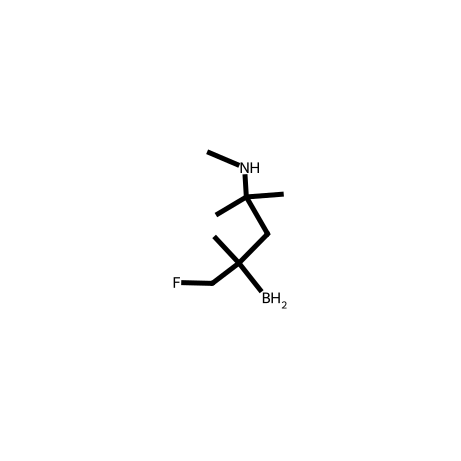 BC(C)(CF)CC(C)(C)NC